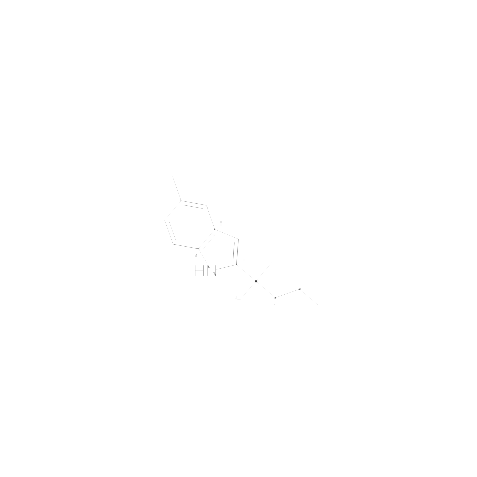 CCCC(C)(C)c1cc2cc(C)ccc2[nH]1